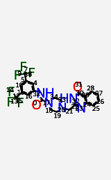 O=C(Nc1cc(C(F)(F)F)cc(C(F)(F)F)c1)N1CCN(Cc2nc3ccccc3c(=O)[nH]2)CC1